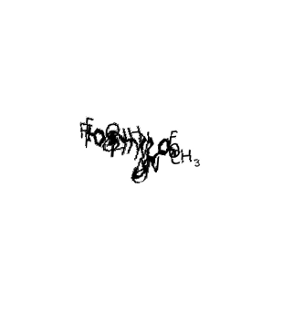 COc1cc(-c2nc3occn3c2-c2ccnc(NCCNS(=O)(=O)c3ccc(C(F)(F)F)cc3)n2)ccc1F